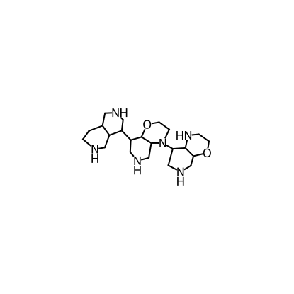 C1CC2CNCC(C3CNCC4C3OCCN4C3CNCC4OCCNC43)C2CN1